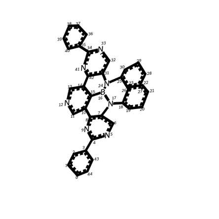 c1ccc(-c2ncc3c(n2)-c2cncc4c2B(N3c2ccccc2)N(c2ccccc2)c2cnc(-c3ccccc3)nc2-4)cc1